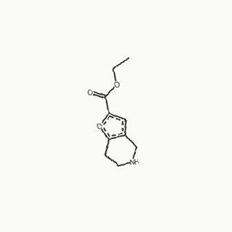 CCOC(=O)c1cc2c(o1)CCNC2